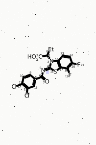 CCC(C(=O)O)n1/c(=N/C(=O)c2ccc(Cl)c(Cl)c2)sc2c(F)c(F)ccc21